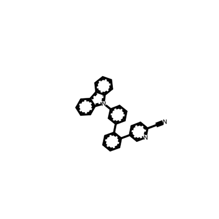 N#Cc1ccc(-c2ccccc2-c2cccc(-n3c4ccccc4c4ccccc43)c2)cn1